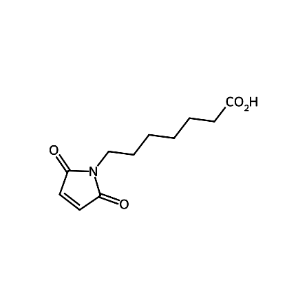 O=C(O)CCCCCCN1C(=O)C=CC1=O